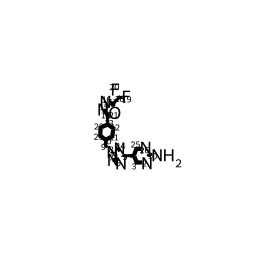 Nc1ncc(-c2nnn(Cc3ccc(-c4nnc(C(F)F)o4)cc3)n2)cn1